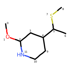 COC1CC(C(C)SC)CCN1